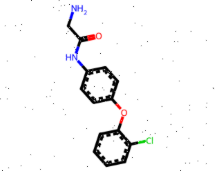 NCC(=O)Nc1ccc(Oc2ccccc2Cl)cc1